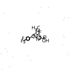 CCC(F)(F)OC[C@@H]1CC(c2ccc(C(F)(F)F)cc2)CN1c1ncc(C(=O)O)cn1